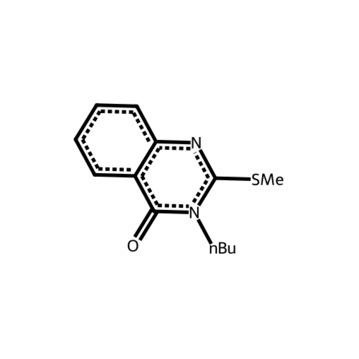 CCCCn1c(SC)nc2ccccc2c1=O